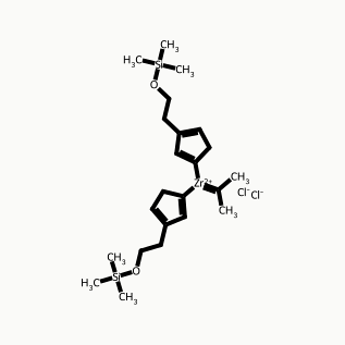 C[C](C)=[Zr+2]([C]1=CC(CCO[Si](C)(C)C)=CC1)[C]1=CC(CCO[Si](C)(C)C)=CC1.[Cl-].[Cl-]